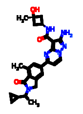 Cc1cc(-c2ccn3nc(N)c(C(=O)N[C@H]4C[C@](C)(O)C4)c3n2)cc2c1C(=O)N(C(C)C1CC1)C2